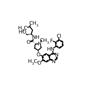 COc1cc2ncnc(Nc3cccc(Cl)c3F)c2cc1O[C@H]1C[C@H](C(=O)N[C@@H](CO)CC(C)C)N(C)C1